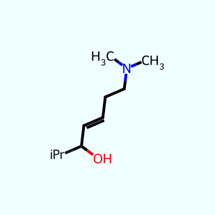 CC(C)C(O)/C=C/CCN(C)C